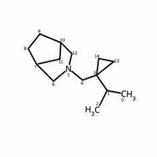 CC(C)C1(CN2CC3CCC(C3)C2)CC1